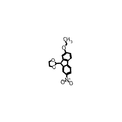 CCOc1ccc2c(c1)C(C1OCCO1)c1cc([N+](=O)[O-])ccc1-2